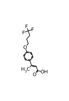 CC(=CC(=O)O)c1ccc(OCCCC(F)(F)F)cc1